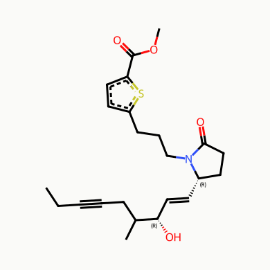 CCC#CCC(C)[C@@H](O)C=C[C@H]1CCC(=O)N1CCCc1ccc(C(=O)OC)s1